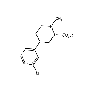 CCOC(=O)C1CC(c2cccc(Cl)c2)CCN1C